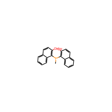 CP(c1c(O)ccc2ccccc12)c1c(O)ccc2ccccc12